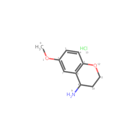 COc1ccc2c(c1)C(N)CCO2.Cl